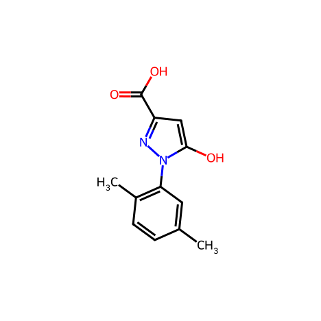 Cc1ccc(C)c(-n2nc(C(=O)O)cc2O)c1